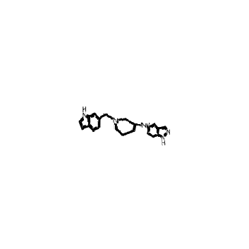 c1cc2ccc(CN3CCCC(Nc4ccc5[nH]ncc5c4)C3)cc2[nH]1